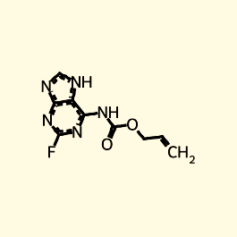 C=CCOC(=O)Nc1nc(F)nc2nc[nH]c12